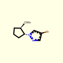 CO[C@@H]1CCC[C@H]1n1cc(Br)cn1